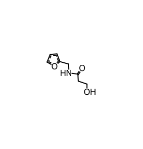 O=C(CCO)NCc1ccco1